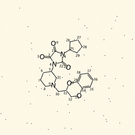 O=C1C(=O)N(C2CCCN(CC3COc4ccccc4O3)C2)C(=O)N1C1CCCC1